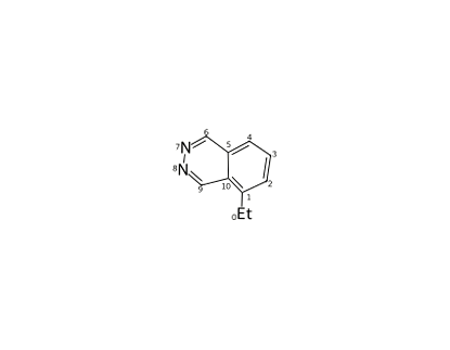 CCc1cccc2cnncc12